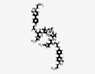 C[C@@H](COc1ccc(-c2ccc(NCCN)[n+](C)c2)cc1)O/N=C(\C(=O)N[C@@H]1C(=O)N(OS(=O)(=O)ON2C(=O)[C@@H](NC(=O)/C(=N\O[C@@H](C)COc3ccc(-c4ccc(NCCN)[n+](C)c4)cc3)c3csc(N)n3)C2(C)C)C1(C)C)c1csc(N)n1